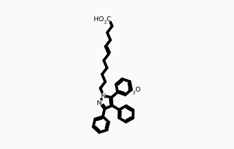 O.O=C(O)CCC/C=C/CCCCCn1nc(-c2ccccc2)c(-c2ccccc2)c1-c1ccccc1